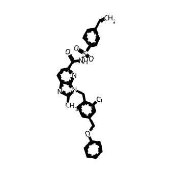 C=Cc1ccc(S(=O)(=O)NC(=O)c2ccc3nc(C)n(Cc4ccc(COc5ccccc5)cc4Cl)c3n2)cc1